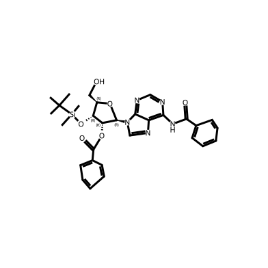 CC(C)(C)[Si](C)(C)O[C@H]1[C@@H](OC(=O)c2ccccc2)[C@H](n2cnc3c(NC(=O)c4ccccc4)ncnc32)O[C@@H]1CO